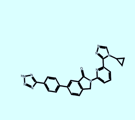 O=C1c2cc(-c3ccc(-c4nn[nH]n4)cc3)ccc2CN1c1cccc(-c2nncn2C2CC2)n1